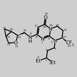 CCC(CC)CCN1c2nc(NC[C@H]3OCC4CC43)cc(=O)n2CC[C@H]1C(F)(F)F